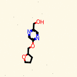 OCc1cnc(OCC2CCCO2)cn1